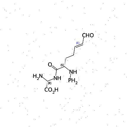 N[C@H](NC(=O)[C@H](CC/C=C/C=O)NP)C(=O)O